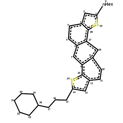 CCCCCCc1cc2ccc3cc4c(ccc5cc(CCCC6CCCCC6)sc54)cc3c2s1